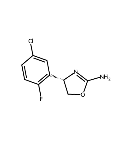 NC1=N[C@@H](c2cc(Cl)ccc2F)CO1